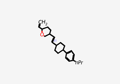 C=CC1CCC(/C=C/C2CCC(c3ccc(CCC)cc3)CC2)CO1